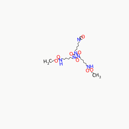 C=CCOC(=O)NCCCCCCn1c(=O)n(CCCCCCN=C=O)c(=O)n(CCCCCCNC(=O)OCC=C)c1=O